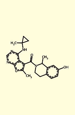 Cc1oc2ncnc(NC3(C)CC3)c2c1C(=O)N1CCc2ccc(O)cc2C1C